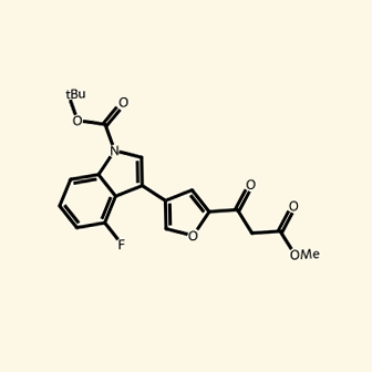 COC(=O)CC(=O)c1cc(-c2cn(C(=O)OC(C)(C)C)c3cccc(F)c23)co1